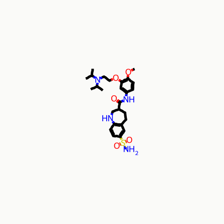 COc1ccc(NC(=O)C2CCc3cc(S(N)(=O)=O)ccc3NC2)cc1OCCN(C(C)C)C(C)C